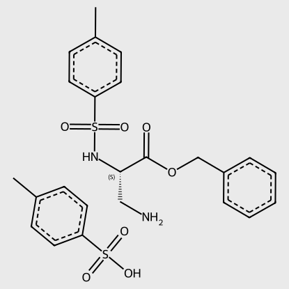 Cc1ccc(S(=O)(=O)N[C@@H](CN)C(=O)OCc2ccccc2)cc1.Cc1ccc(S(=O)(=O)O)cc1